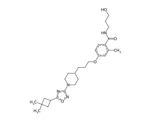 Cc1cc(OCCCC2CCN(c3noc(C4CC(C)(C)C4)n3)CC2)ccc1C(=O)NCCCO